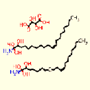 CCCCCCCC/C=C\CCCCCCCCC(O)C(N)(O)O.CCCCCCCC/C=C\CCCCCCCCC(O)C(N)(O)O.O=C(O)C(O)C(O)C(=O)O